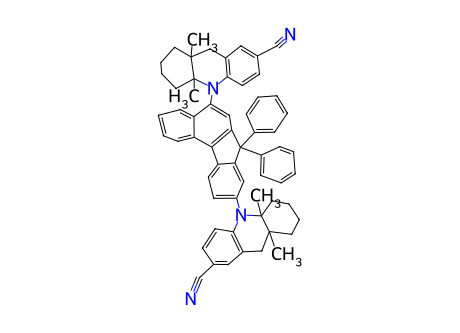 CC12CCCCC1(C)N(c1ccc3c(c1)C(c1ccccc1)(c1ccccc1)c1cc(N4c5ccc(C#N)cc5CC5(C)CCCCC45C)c4ccccc4c1-3)c1ccc(C#N)cc1C2